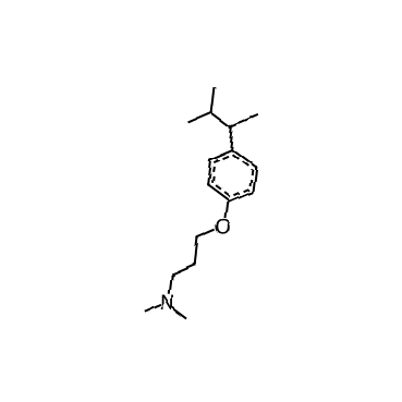 CC(C)C(C)c1ccc(OCCCN(C)C)cc1